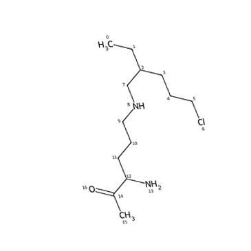 CCC(CCCCl)CNCCCC(N)C(C)=O